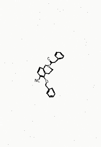 N#Cc1ccc2c(c1OCc1ccccc1)CCN(C(=O)Cc1ccccc1)C2